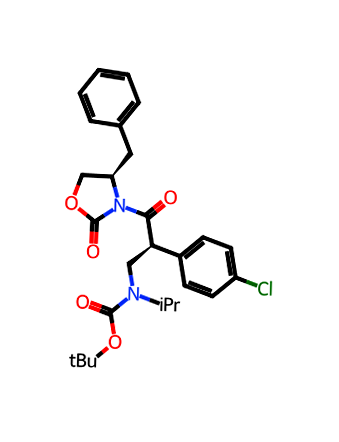 CC(C)N(C[C@@H](C(=O)N1C(=O)OC[C@H]1Cc1ccccc1)c1ccc(Cl)cc1)C(=O)OC(C)(C)C